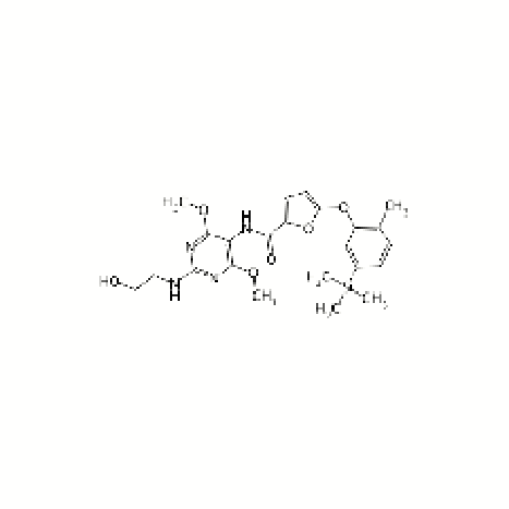 COc1nc(NCCO)nc(OC)c1NC(=O)c1ccc(Oc2cc([Si](C)(C)C)ccc2C)o1